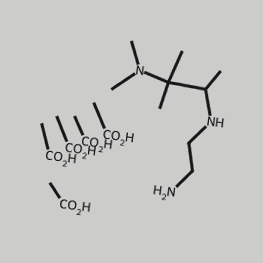 CC(=O)O.CC(=O)O.CC(=O)O.CC(=O)O.CC(=O)O.CC(NCCN)C(C)(C)N(C)C